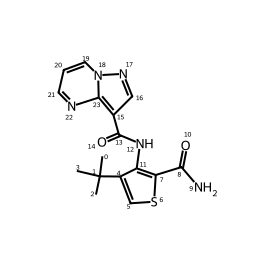 CC(C)(C)c1csc(C(N)=O)c1NC(=O)c1cnn2cccnc12